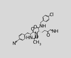 CC(=O)N[C@@H](Cc1ccc(C#N)cc1)C(=O)N[C@@H](CCC(=O)C=N)C(=O)NCc1ccc(Cl)cc1